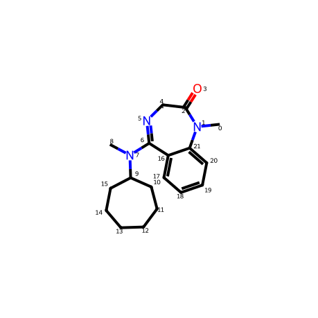 CN1C(=O)[CH]N=C(N(C)C2CCCCCC2)c2ccccc21